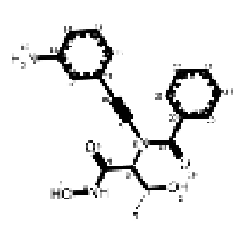 C[C@@H](O)[C@@H](C(=O)NO)N(C#Cc1cccc(N)c1)C(=O)c1ccccc1